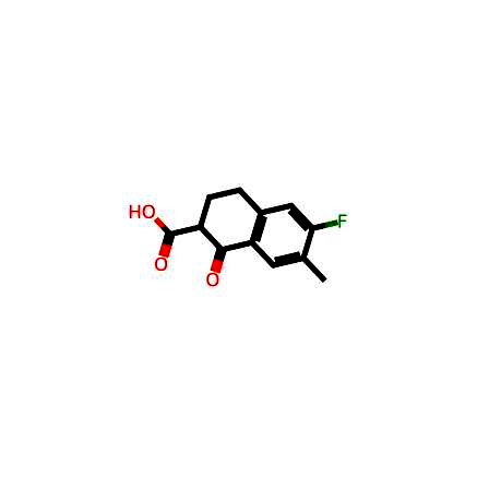 Cc1cc2c(cc1F)CCC(C(=O)O)C2=O